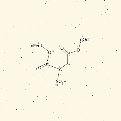 CCCCCCCCOC(=O)CC(C(=O)OCCCCC)S(=O)(=O)O